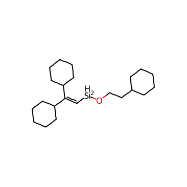 C([SiH2]OCCC1CCCCC1)=C(C1CCCCC1)C1CCCCC1